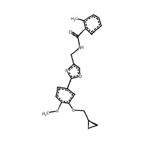 COc1ccc(-c2nc(CNC(=O)c3ccccc3C)co2)cc1OCC1CC1